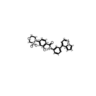 O=C(Nc1cccc(-c2ccnn3cccc23)c1)c1ccc(N2CCOCS2(=O)=O)cc1Cl